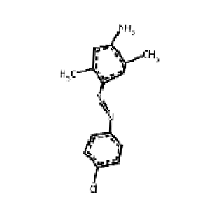 Cc1cc(/N=N/c2ccc(Cl)cc2)c(C)cc1N